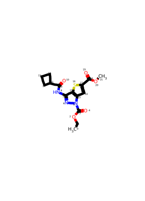 CCOC(=O)n1nc(NC(=O)C2CCC2)c2sc(C(=O)OC)cc21